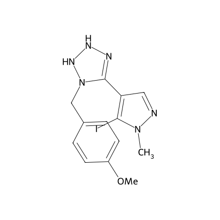 COc1ccc(CN2NNN=C2c2cnn(C)c2I)cc1